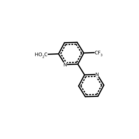 O=C(O)c1ccc(C(F)(F)F)c(-c2ccccn2)n1